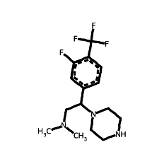 CN(C)CC(c1ccc(C(F)(F)F)c(F)c1)N1CCNCC1